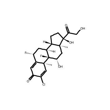 C[C@]12C=C(Cl)C(=O)C=C1[C@H](F)C[C@H]1[C@@H]3CC[C@](O)(C(=O)CO)[C@@]3(C)C[C@H](O)[C@@]12F